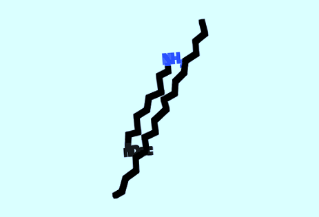 CCCCCCCCCCCCCCCCCCC.CCCCCCCCCCCCCCCCCCN